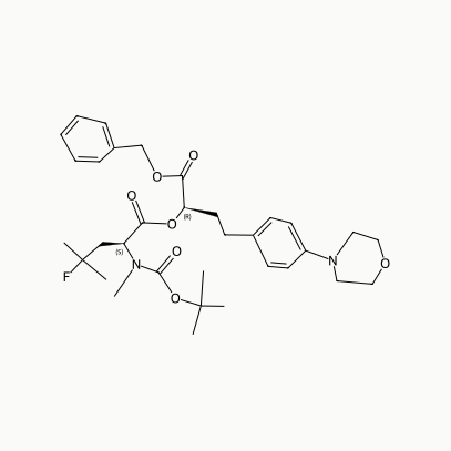 CN(C(=O)OC(C)(C)C)[C@@H](CC(C)(C)F)C(=O)O[C@H](CCc1ccc(N2CCOCC2)cc1)C(=O)OCc1ccccc1